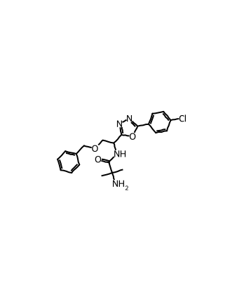 CC(C)(N)C(=O)NC(COCc1ccccc1)c1nnc(-c2ccc(Cl)cc2)o1